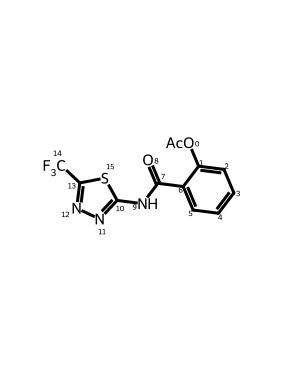 CC(=O)Oc1ccccc1C(=O)Nc1nnc(C(F)(F)F)s1